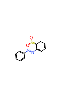 O=S(=O)=C1CC=CC=C1N=Nc1ccccc1